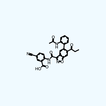 CCC(=O)c1cc2onc(C(=O)Nc3ccc(C#N)cc3C(=O)O)c2cc1-c1ccccc1NC(C)=O